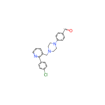 O=[C]c1ccc(N2CCN(Cc3cccnc3-c3ccc(Cl)cc3)CC2)cc1